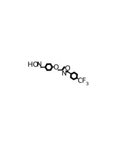 ON=Cc1ccc(OCc2coc(-c3ccc(C(F)(F)F)cc3)n2)cc1